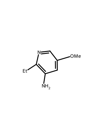 CCc1ncc(OC)cc1N